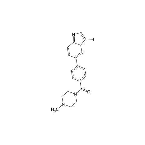 CN1CCN(C(=O)c2ccc(C3=NC4C(I)=CN=C4C=C3)cc2)CC1